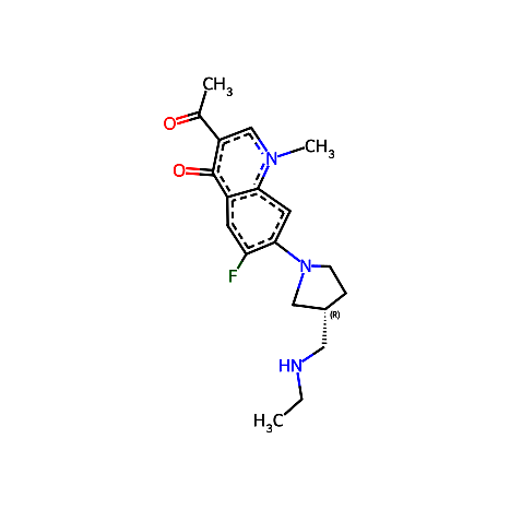 CCNC[C@H]1CCN(c2cc3c(cc2F)c(=O)c(C(C)=O)cn3C)C1